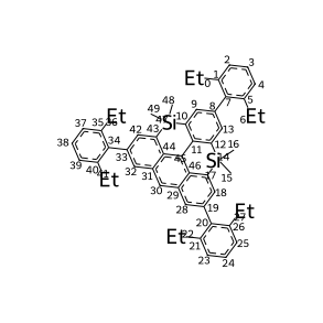 CCc1cccc(CC)c1-c1cc2c3c(c1)[Si](C)(C)c1cc(-c4c(CC)cccc4CC)cc4cc5cc(-c6c(CC)cccc6CC)cc(c5c-3c14)[Si]2(C)C